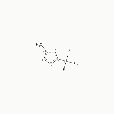 Cp1ccc(C(F)(F)F)c1